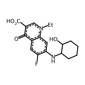 CCn1cc(C(=O)O)c(=O)c2cc(F)c(NC3CCCCC3O)cc21